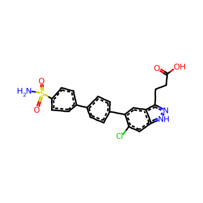 NS(=O)(=O)c1ccc(-c2ccc(-c3cc4c(CCC(=O)O)n[nH]c4cc3Cl)cc2)cc1